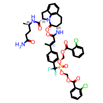 C/C(=C\C(=O)N[C@H]1CCc2cccc3c2N(C1=O)[C@H](C(=O)N[C@H](C)CCC(N)=O)C3)c1ccc(C(F)(F)P(=O)(OCOC(=O)c2ccccc2Cl)OCOC(=O)c2ccccc2Cl)cc1